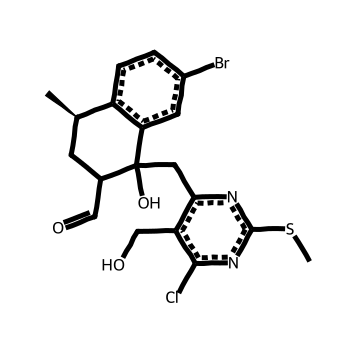 CSc1nc(Cl)c(CO)c(CC2(O)c3cc(Br)ccc3[C@H](C)CC2C=O)n1